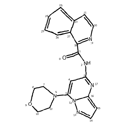 O=C(Nc1cc(N2CCOCC2)n2nccc2n1)c1nccc2ccccc12